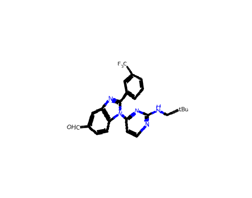 CC(C)(C)CNc1nccc(-n2c(-c3cccc(C(F)(F)F)c3)nc3cc(C=O)ccc32)n1